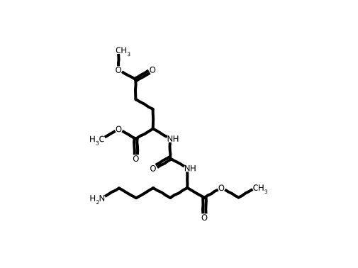 CCOC(=O)C(CCCCN)NC(=O)NC(CCC(=O)OC)C(=O)OC